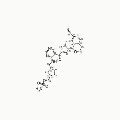 Cc1sc(C(=O)c2cncnc2NC[C@H]2CC[C@@H](COS(N)(=O)=O)C2)cc1C1OCCc2ccc(C#N)cc21